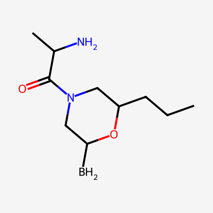 BC1CN(C(=O)C(C)N)CC(CCC)O1